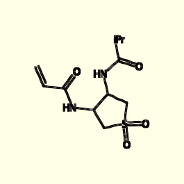 C=CC(=O)NC1CS(=O)(=O)CC1NC(=O)C(C)C